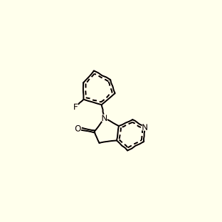 O=C1Cc2ccncc2N1c1ccccc1F